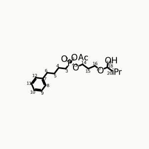 CC(=O)OP(=O)(CCCCc1ccccc1)OCCCOC(O)C(C)C